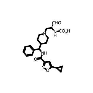 O=C[C@H](CN1CCC(C(NC(=O)c2cc(C3CC3)on2)c2ccccc2)CC1)NC(=O)O